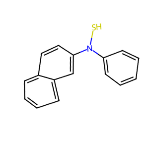 SN(c1ccccc1)c1ccc2ccccc2c1